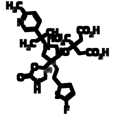 Cc1ccc(C(C)(C)N2CC[C@@](CCc3ccc(F)s3)([C@@H]3CNC(=O)O3)C2)cn1.O=C(O)CC(O)(CC(=O)O)C(=O)O